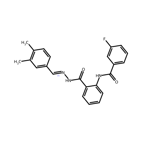 Cc1ccc(/C=N/NC(=O)c2ccccc2NC(=O)c2cccc(F)c2)cc1C